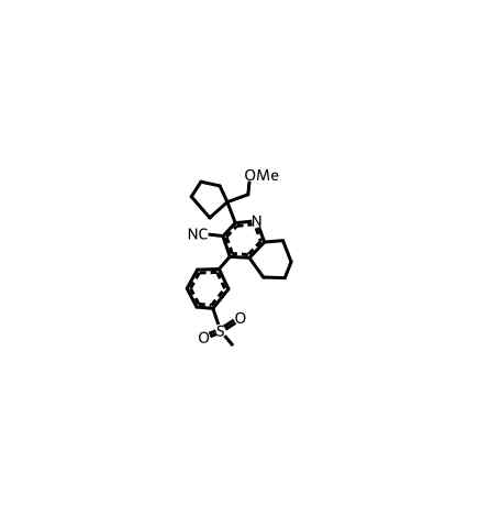 COCC1(c2nc3c(c(-c4cccc(S(C)(=O)=O)c4)c2C#N)CCCC3)CCCC1